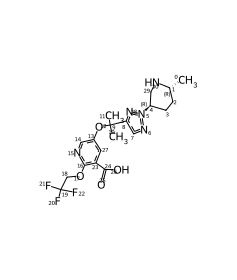 C[C@@H]1CC[C@@H](n2ncc(C(C)(C)Oc3cnc(OCC(F)(F)F)c(C(=O)O)c3)n2)CN1